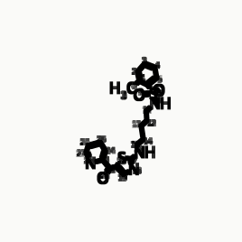 Cc1ccccc1S(=O)(=O)NCCCCCNc1ncc(C(=O)c2ccccn2)s1